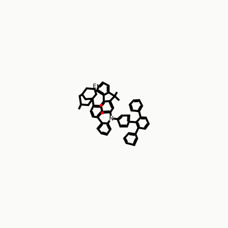 CCC1CC2CC(C)CC(c3ccc(-c4ccccc4N(c4ccc(-c5c(-c6ccccc6)cccc5-c5ccccc5)cc4)c4ccc5c(c4)C(C)(C)c4ccccc4-5)cc3)(C1)C2